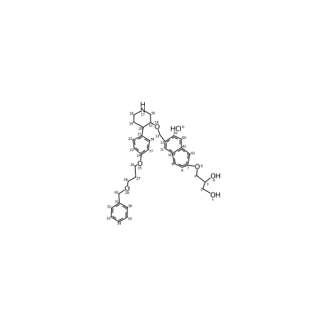 Cl.OCC(O)COc1ccc2cc(COC3CNCCC3c3ccc(OCCCOCc4ccccc4)cc3)ccc2c1